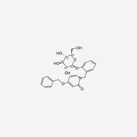 O=c1cc(OCc2ccccc2)ccn1Cc1ccccc1O[C@@H]1O[C@H](CO)[C@@H](O)[C@H](O)[C@H]1O